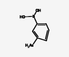 OB(O)c1cccc([AsH2])c1